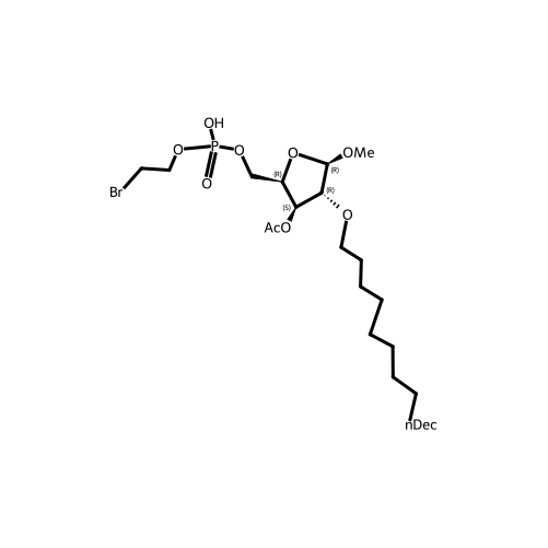 CCCCCCCCCCCCCCCCCCO[C@H]1[C@H](OC)O[C@H](COP(=O)(O)OCCBr)[C@@H]1OC(C)=O